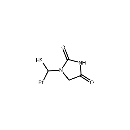 CCC(S)N1CC(=O)NC1=O